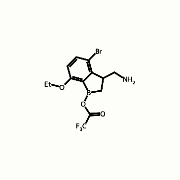 CCOc1ccc(Br)c2c1B(OC(=O)C(F)(F)F)CC2CN